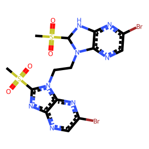 CS(=O)(=O)c1nc2ncc(Br)nc2n1CCN1c2ncc(Br)nc2NC1S(C)(=O)=O